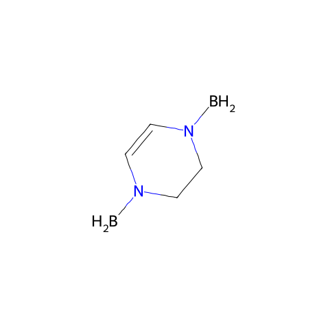 BN1C=CN(B)CC1